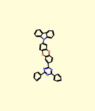 c1ccc(-c2nc(-c3ccccc3)nc(-c3ccc4c(c3)Oc3ccc(-n5c6ccccc6c6ccccc65)cc3O4)n2)cc1